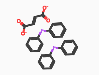 O=C([O-])C=CC(=O)[O-].c1ccc([I+]c2ccccc2)cc1.c1ccc([I+]c2ccccc2)cc1